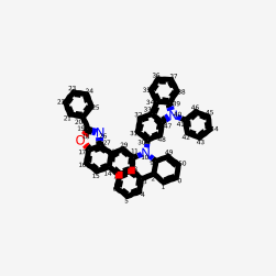 C1=CC(c2ccccc2)C(N(c2ccc3ccc4oc(-c5ccccc5)nc4c3c2)c2ccc3c4ccccc4n(-c4ccccc4)c3c2)C=C1